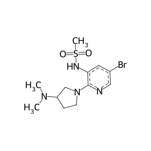 CN(C)C1CCN(c2ncc(Br)cc2NS(C)(=O)=O)C1